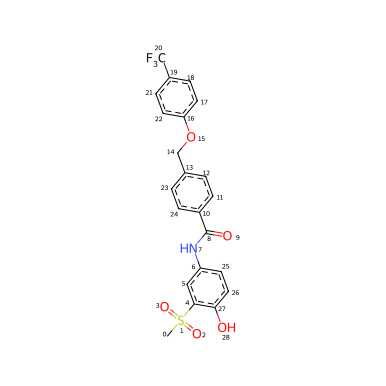 CS(=O)(=O)c1cc(NC(=O)c2ccc(COc3ccc(C(F)(F)F)cc3)cc2)ccc1O